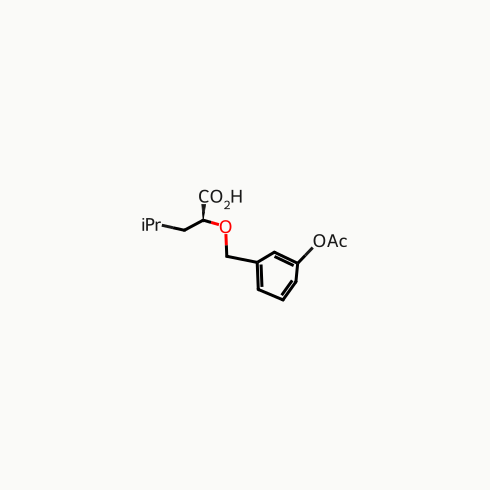 CC(=O)Oc1cccc(CO[C@@H](CC(C)C)C(=O)O)c1